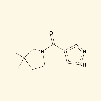 CC1(C)CCN(C(=O)c2cn[nH]c2)C1